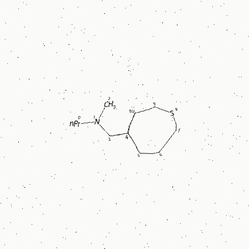 CCCN(C)CC1CCCSCC1